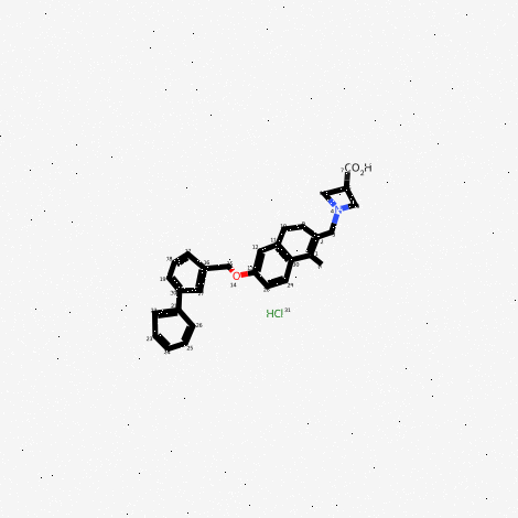 CC1=C(CN2CC(C(=O)O)C2)CCc2cc(OCc3cccc(-c4ccccc4)c3)ccc21.Cl